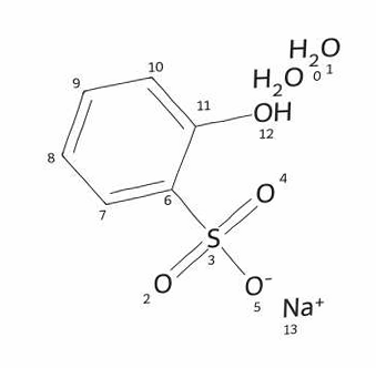 O.O.O=S(=O)([O-])c1ccccc1O.[Na+]